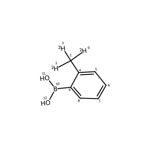 [2H]C([2H])([2H])c1ccccc1B(O)O